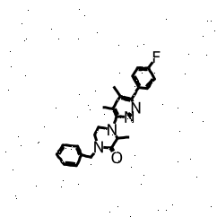 Cc1c(-c2ccc(F)cc2)nnc(N2CCN(Cc3ccccc3)C(=O)C2C)c1C